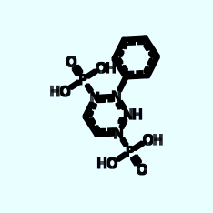 O=P(O)(O)n1ccn(P(=O)(O)O)n(-c2ccccc2)[nH]1